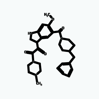 COc1cc2c(cc1C(=O)N1CCC(Cc3ccccc3)CC1)C(C(=O)C(=O)N1CCN(C)CC1)CN2